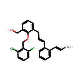 O=C(O)C=Cc1ccccc1C=CCc1cccc(CO)c1OCc1c(Cl)cccc1Cl